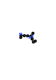 c1ccc(-c2cc(-c3ccc(-c4ccc(-c5cncc6ccccc56)cc4)cc3)nc(-c3ccc(-c4cccc5ccccc45)cc3)n2)cc1